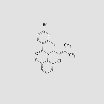 CC(=CCN(C(=O)c1ccc(Br)cc1I)c1c(F)cccc1Cl)C(F)(F)F